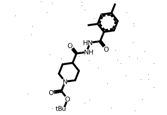 Cc1ccc(C(=O)NNC(=O)C2CCN(C(=O)OC(C)(C)C)CC2)c(C)c1